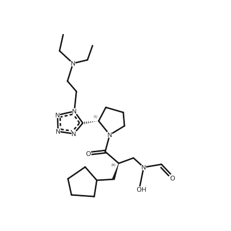 CCN(CC)CCn1nnnc1[C@@H]1CCCN1C(=O)[C@H](CC1CCCC1)CN(O)C=O